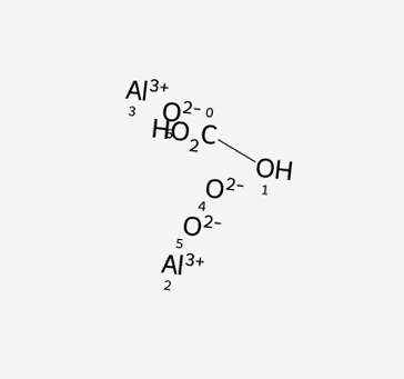 O=C(O)O.[Al+3].[Al+3].[O-2].[O-2].[O-2]